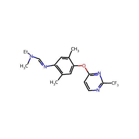 CCN(C)/C=N/c1cc(C)c(Oc2ccnc(C(F)(F)F)n2)cc1C